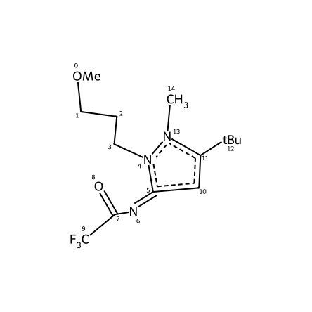 COCCCn1c(=NC(=O)C(F)(F)F)cc(C(C)(C)C)n1C